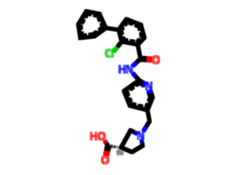 O=C(Nc1ccc(CN2CC[C@H](C(=O)O)C2)cn1)c1cccc(-c2ccccc2)c1Cl